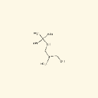 CCCCC(C)(CCC)NCC(CO)C(=O)O